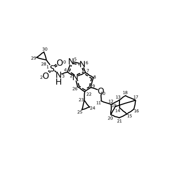 O=S(=O)(Nc1nnc2cc(OCC3C4CC5CC(C4)CC3C5)c(C3CC3)cn12)C1CC1